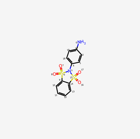 Nc1ccc(N2S(=O)(=O)c3ccccc3S2(=O)=O)cc1